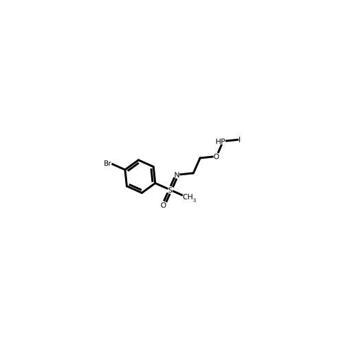 CS(=O)(=NCCOPI)c1ccc(Br)cc1